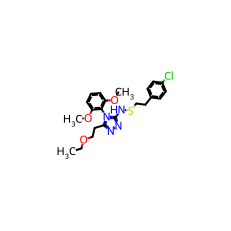 CCOCCc1nnc(NSCCc2ccc(Cl)cc2)n1-c1c(OC)cccc1OC